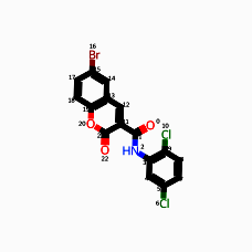 O=C(Nc1cc(Cl)ccc1Cl)c1cc2cc(Br)ccc2oc1=O